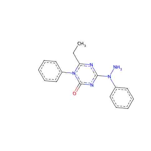 CCc1nc(N(N)c2ccccc2)nc(=O)n1-c1ccccc1